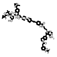 Cc1ncsc1-c1ccc([C@H](CC(=O)N2CCN(c3ccc(C#Cc4ccc(C(=O)NCCCn5cc(-c6ccc7c(c6)CCN7C(=O)Cc6cccc(OC(F)(F)F)c6)c6c(N)ncnc65)cc4)cn3)CC2)NC(=O)[C@@H]2C[C@@H](O)CN2C(=O)[C@@H](NC(=O)C2(F)CC2)C(C)(C)C)cc1